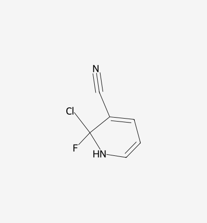 N#CC1=CC=CNC1(F)Cl